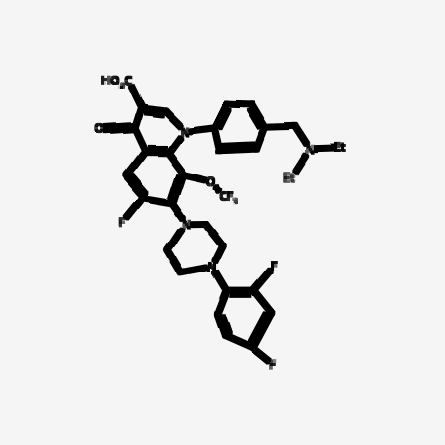 CCN(CC)Cc1ccc(-n2cc(C(=O)O)c(=O)c3cc(F)c(N4CCN(c5ccc(F)cc5F)CC4)c(OC(F)(F)F)c32)cc1